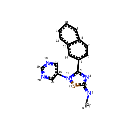 CC(C)N=c1nc(-c2ccc3ccccc3c2)n(-c2cncnc2)s1